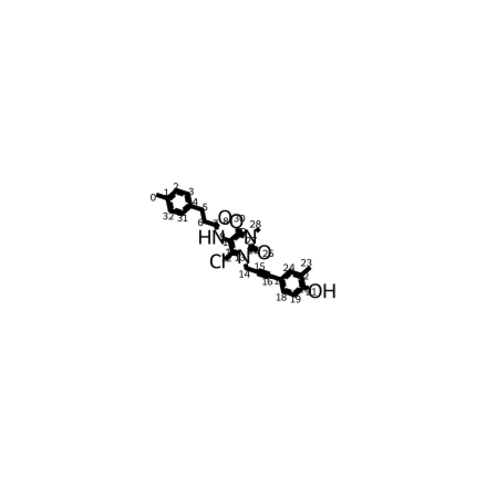 Cc1ccc(CCC(=O)Nc2c(Cl)n(CC#Cc3ccc(O)c(C)c3)c(=O)n(C)c2=O)cc1